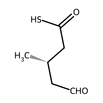 C[C@@H](CC=O)CC(=O)S